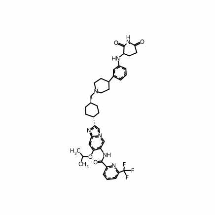 CC(C)Oc1cc2nc([C@H]3CC[C@H](CN4CCC(c5cccc(NC6CCC(=O)NC6=O)c5)CC4)CC3)cn2cc1NC(=O)c1cccc(C(F)(F)F)n1